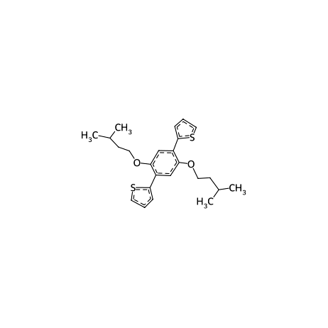 CC(C)CCOc1cc(-c2cccs2)c(OCCC(C)C)cc1-c1cccs1